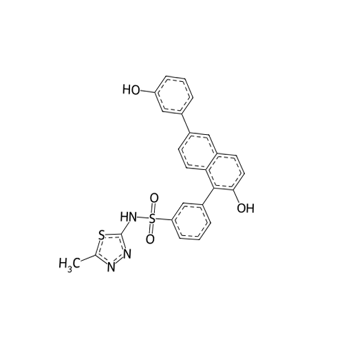 Cc1nnc(NS(=O)(=O)c2cccc(-c3c(O)ccc4cc(-c5cccc(O)c5)ccc34)c2)s1